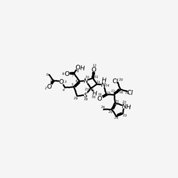 CC(=O)OCC1=C(C(=O)O)N2C(=O)C(NC(=O)C(=C(Cl)Cl)c3[nH]ccc3C)[C@@H]2SC1